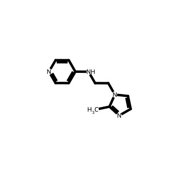 Cc1nccn1CCNc1ccncc1